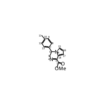 COC(=O)C1=NCC(c2ccc(C)cc2)n2cccc21